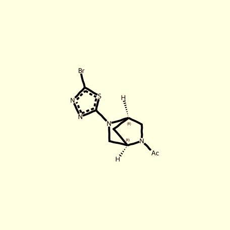 CC(=O)N1C[C@H]2C[C@@H]1CN2c1nnc(Br)s1